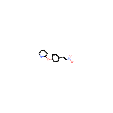 O=[N+]([O-])/C=C/c1ccc(Oc2ccccn2)cc1